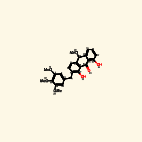 COc1cc(Cc2ccc3c(c2O)C(=O)c2c(O)cccc2C3OC)cc(OC)c1OC